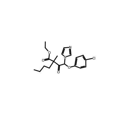 CCCCC(C)(C(=O)OCC)C(=O)C(Oc1ccc(Cl)cc1)n1ccnc1